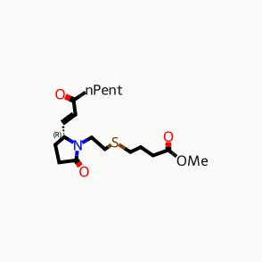 CCCCCC(=O)C=C[C@H]1CCC(=O)N1CCSCCCC(=O)OC